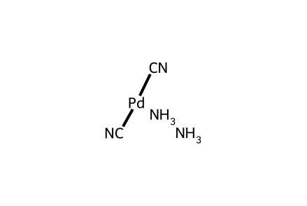 N.N.N#[C][Pd][C]#N